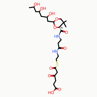 CC(O)CC(O)CC(O)CC1OCC(C)(C)[C@H](C(=O)NCCC(=O)NCCSC(=O)CC(=O)CCC(=O)O)O1